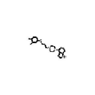 Cc1ccc(SCCCN2CCN(c3cccc4[nH]ccc34)CC2)cc1C